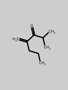 C=C(CCC)C(=O)C(C)C